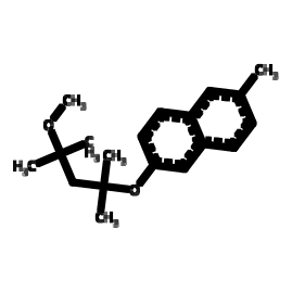 COC(C)(C)CC(C)(C)Oc1ccc2cc(C)ccc2c1